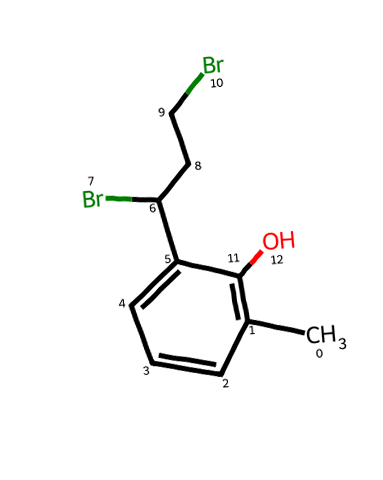 Cc1cccc(C(Br)CCBr)c1O